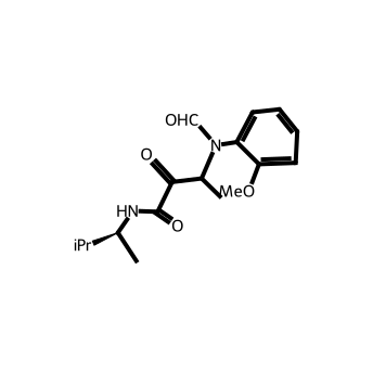 COc1ccccc1N(C=O)C(C)C(=O)C(=O)N[C@@H](C)C(C)C